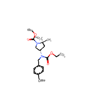 COc1ccc(CN(C(=O)OCC(Cl)(Cl)Cl)[C@@H]2CN(C(=O)OC(C)(C)C)[C@](C)(C(=O)O)C2)cc1